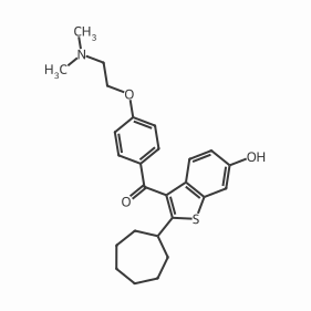 CN(C)CCOc1ccc(C(=O)c2c(C3CCCCCC3)sc3cc(O)ccc23)cc1